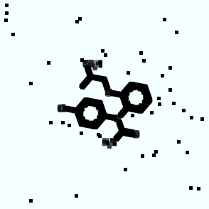 CC(COc1ccccc1N(C(N)=O)c1ccc(Cl)cc1)C(=O)O